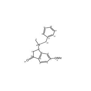 COc1ccc2c(c1)C(N(C)Cc1ccccc1)CC2=O